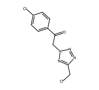 O=C(Cn1nnc(CCl)n1)c1ccc(Cl)cc1